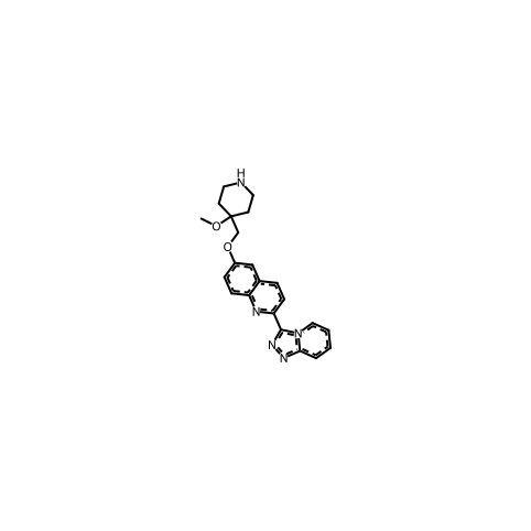 COC1(COc2ccc3nc(-c4nnc5ccccn45)ccc3c2)CCNCC1